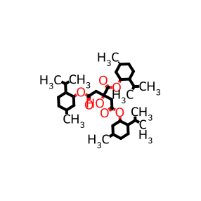 CC1CCC(C(C)C)C(OC(=O)CC(O)(CC(=O)OC2CC(C)CCC2C(C)C)C(=O)OC2C[C@H](C)CCC2C(C)C)C1